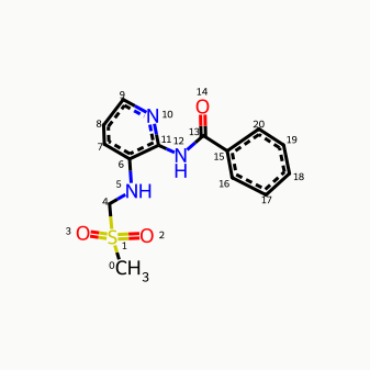 CS(=O)(=O)CNc1cccnc1NC(=O)c1ccccc1